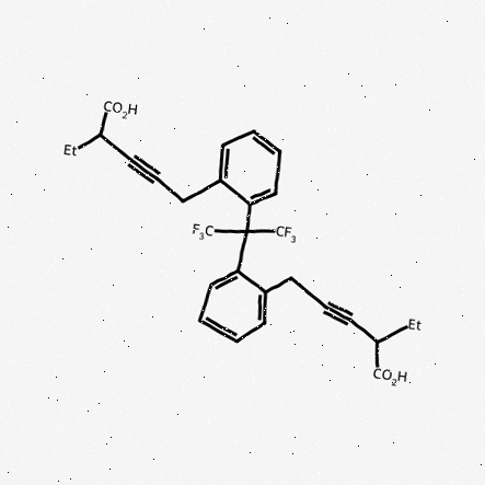 CCC(C#CCc1ccccc1C(c1ccccc1CC#CC(CC)C(=O)O)(C(F)(F)F)C(F)(F)F)C(=O)O